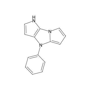 c1ccc(-n2c3cc[nH]c3n3cccc23)cc1